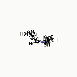 CN(NS)c1ncnc2c1ncn2[C@@H]1O[C@H](/C=C/P(=O)(O)OP(=O)(O)OP(=O)(O)O)C[C@H]1O